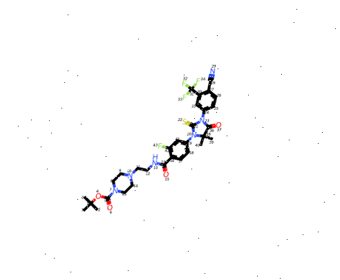 CC(C)(C)OC(=O)N1CCN(CCNC(=O)c2ccc(N3C(=S)N(c4ccc(C#N)c(C(F)(F)F)c4)C(=O)C3(C)C)cc2F)CC1